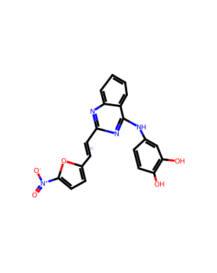 O=[N+]([O-])c1ccc(/C=C/c2nc(Nc3ccc(O)c(O)c3)c3ccccc3n2)o1